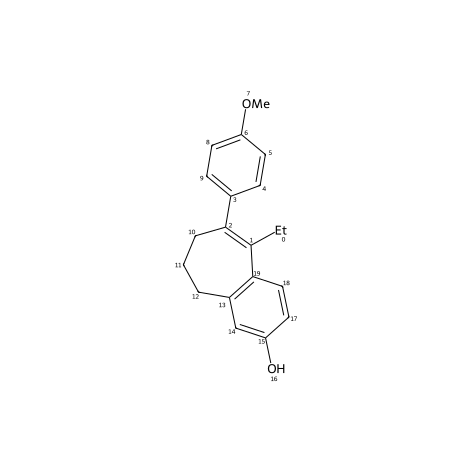 CCC1=C(c2ccc(OC)cc2)CCCc2cc(O)ccc21